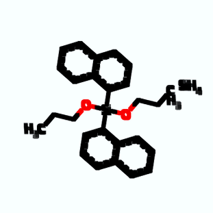 CCCO[Si](OCCC)(c1cccc2ccccc12)c1cccc2ccccc12.[SiH4]